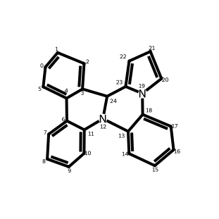 c1ccc2c(c1)-c1ccccc1N1c3ccccc3-n3cccc3C21